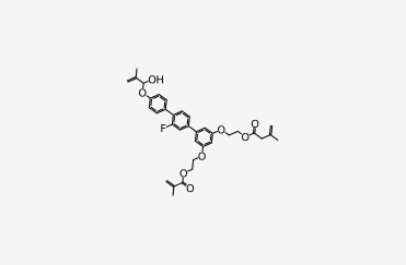 C=C(C)CC(=O)OCCOc1cc(OCCOC(=O)C(=C)C)cc(-c2ccc(-c3ccc(OC(O)C(=C)C)cc3)c(F)c2)c1